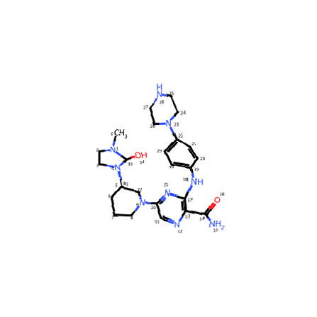 CN1CCN([C@@H]2CCCN(c3cnc(C(N)=O)c(Nc4ccc(N5CCNCC5)cc4)n3)C2)C1O